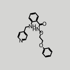 O=C(NOCCOc1ccccc1)c1ccccc1NCc1ccncc1